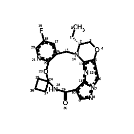 CC[C@@H]1COc2cn3ncc4c3nc2N1Cc1cc(F)cnc1OC1(CCC1)NC4=O